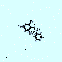 CCc1cc(CC)c(CS(=O)(=O)c2ccncc2)c(CC)c1